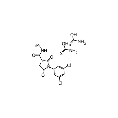 CC(C)NC(=O)N1CC(=O)N(c2cc(Cl)cc(Cl)c2)C1=O.NC(O)=S.NC(O)=S